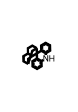 c1ccc2c(c1)Nc1ccccc1C21C2CCC3CCC(C2)CC31